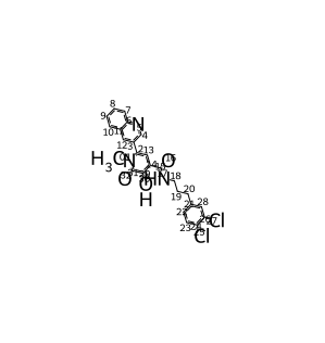 Cn1c(-c2cnc3ccccc3c2)cc(C(=O)NCCCc2ccc(Cl)c(Cl)c2)c(O)c1=O